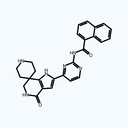 O=C1NCC2(CCNCC2)c2[nH]c(-c3ccnc(NC(=O)c4cccc5ccccc45)n3)cc21